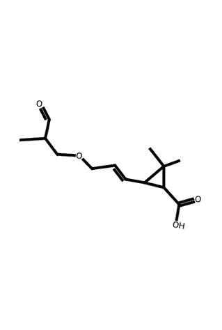 CC(C=O)COCC=CC1C(C(=O)O)C1(C)C